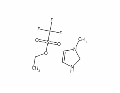 CCOS(=O)(=O)C(F)(F)F.CN1C=CNC1